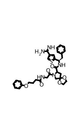 N=C(N)c1csc([C@@H](Cc2ccccc2)NC(=O)C2CC3(CN2C(=O)CNC(=O)CCCOc2ccccc2)OCCO3)c1